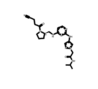 CC(C)NC(=O)Cn1cc(Nc2nccc(NC[C@H]3CCCN3C(=O)CCC#N)n2)cn1